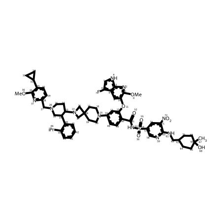 COc1nc2[nH]cc(F)c2cc1Oc1cc(N2CCC3(CC2)CN(C2CCN(Cc4ccc(C5CC5)c(OC)n4)CC2c2ccccc2C(C)C)C3)ccc1C(=O)NS(=O)(=O)c1cnc(NCC2CCC(C)(O)CC2)c([N+](=O)[O-])c1